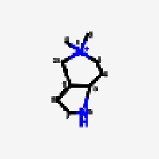 C[N+]1(C)CCC2NCCC2C1